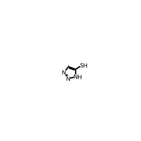 Sc1[c]nn[nH]1